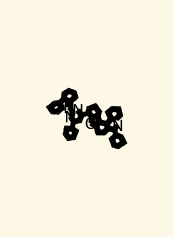 c1ccc(-c2cc(-c3cccc4c3oc3ccc5c(-c6ccccc6)nc6ccccc6c5c34)nc(-n3c4ccccc4c4ccccc43)n2)cc1